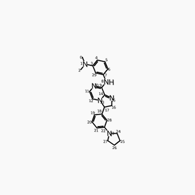 CN(C)c1cccc(NC2=NC=CN3C2=NCC3c2cccc(N3CCCC3)c2)c1